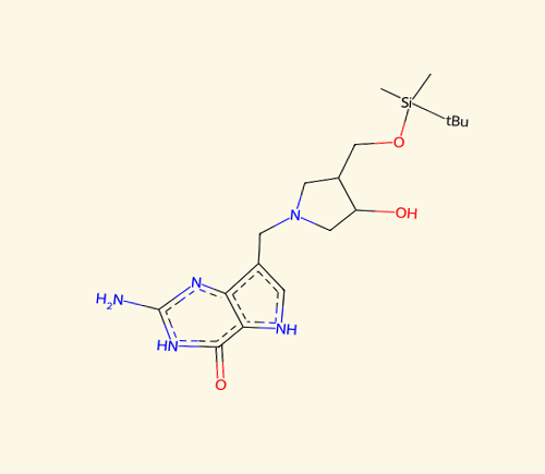 CC(C)(C)[Si](C)(C)OCC1CN(Cc2c[nH]c3c(=O)[nH]c(N)nc23)CC1O